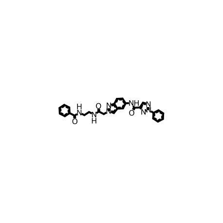 O=C(Cn1cc2cc(NC(=O)c3cnn(-c4ccccc4)n3)ccc2n1)NCCNC(=O)c1ccccc1